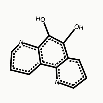 Oc1c(O)c2ncccc2c2ncccc12